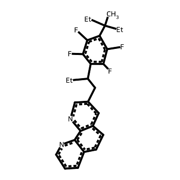 CCC(Cc1cnc2c(ccc3cccnc32)c1)c1c(F)c(F)c(C(C)(CC)CC)c(F)c1F